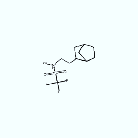 O=S(=O)([NH+]([O-])CCC1CC2CCC1C2)C(F)(F)F